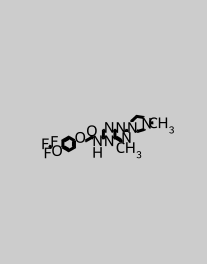 Cc1nc(N2CCCN(C)CC2)nc2ncc(NC(=O)COc3ccc(OC(F)(F)F)cc3)nc12